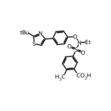 CCN(Oc1ccc(-c2csc(C(C)(C)C)n2)cc1)S(=O)(=O)c1ccc(C)c(C(=O)O)c1